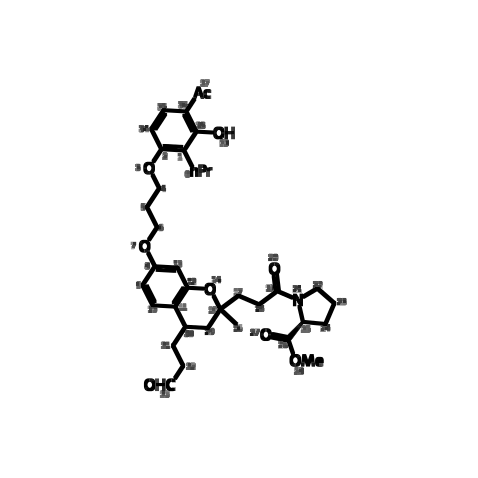 CCCc1c(OCCCOc2ccc3c(c2)OC(C)(CCC(=O)N2CCC[C@H]2C(=O)OC)CC3CCC=O)ccc(C(C)=O)c1O